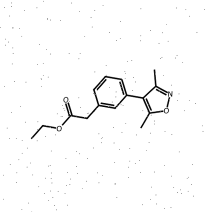 CCOC(=O)Cc1cccc(-c2c(C)noc2C)c1